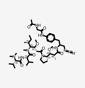 CC[C@H](C)[C@@H]([C@@H](CC(=O)N1CCC[C@H]1[C@H](OC)[C@@H](C)C(=O)NC(CN=[N+]=[N-])Cc1ccc(NC(=O)CNC(C)=O)cc1)OC)N(C)C(=O)[C@@H](NC(=O)[C@H](C(C)C)N(C)C)C(C)C